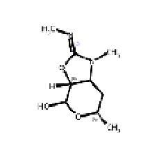 C/N=C1\O[C@H]2C(O)O[C@H](C)CC2N1C